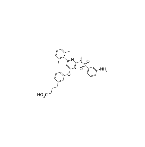 Cc1cccc(C)c1-c1cc(Oc2cccc(CCCC(=O)O)c2)nc(NS(=O)(=O)c2cccc(N)c2)n1